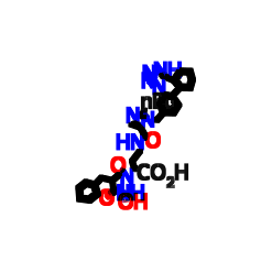 CCCCc1ncc(C(=O)NCCC(NC(=O)C(Cc2ccccc2)C(=O)NO)C(=O)O)n1Cc1ccc(-c2ccccc2-c2nnn[nH]2)cc1